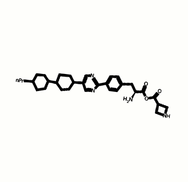 CCCC1CCC(C2CCC(c3cnc(-c4ccc(C[C@H](N)C(=O)OC(=O)C5CNC5)cc4)nc3)CC2)CC1